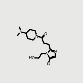 CN(C)C1CCN(C(=O)CCc2ncc(Cl)n2CCO)CC1